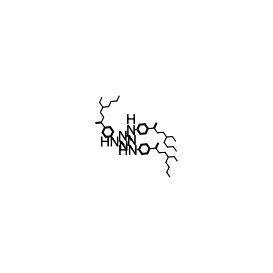 C=C(CCC(CC)CCCC)c1ccc(Nc2nc(Nc3ccc(C(=C)CCC(CC)CCCC)cc3)nc(Nc3ccc(C(=C)CCC(CC)CCCC)cc3)n2)cc1